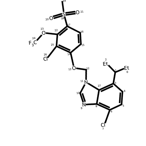 CCC(CC)c1ccc(Cl)c2ncn(COc3ccc(S(C)(=O)=O)c(OC(F)(F)F)c3Cl)c12